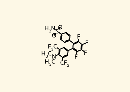 CN(C)c1c(C(F)(F)F)cc(-c2c(F)c(F)c(F)c(F)c2-c2ccc(S(N)(=O)=O)cc2)cc1C(F)(F)F